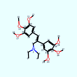 CCN(CC)CC(=Cc1cc(OC)c(OC)c(OC)c1)c1cc(OC)c(OC)c(OC)c1